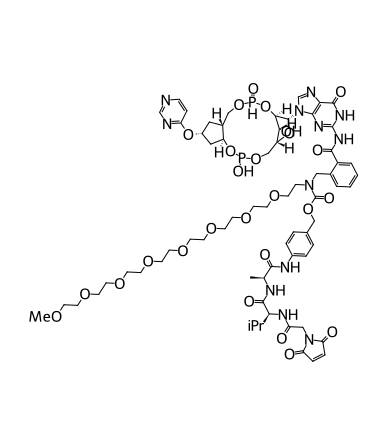 COCCOCCOCCOCCOCCOCCOCCOCCN(Cc1ccccc1C(=O)Nc1nc2c(ncn2[C@@H]2O[C@@H]3COP(O)O[C@H]4C[C@H](Oc5ccncn5)C[C@@H]4CO[PH](=O)O[C@@H]2[C@@H]3O)c(=O)[nH]1)C(=O)OCc1ccc(NC(=O)[C@H](C)NC(=O)[C@@H](NC(=O)CN2C(=O)C=CC2=O)C(C)C)cc1